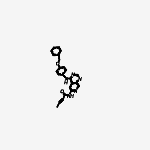 CC#CC(=O)Nc1cc2c(Nc3ccc(OCc4ccccc4)cc3)ncnc2cn1